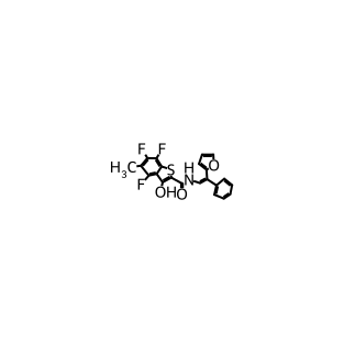 Cc1c(F)c(F)c2sc(C(=O)NC=C(c3ccccc3)c3ccco3)c(O)c2c1F